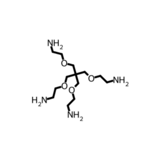 NCCOCC(COCCN)(COCCN)COCCN